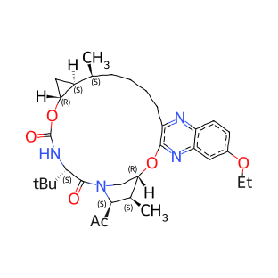 CCOc1ccc2nc3c(nc2c1)O[C@H]1CN(C(=O)[C@H](C(C)(C)C)NC(=O)O[C@@H]2C[C@H]2[C@@H](C)CCCC3)[C@H](C(C)=O)[C@@H]1C